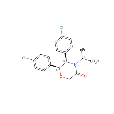 CCC[C@H](C(=O)O)N1C(=O)CO[C@@H](c2ccc(Cl)cc2)[C@H]1c1ccc(Cl)cc1